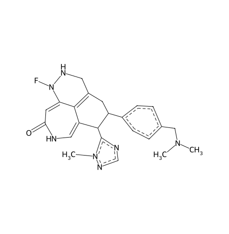 CN(C)Cc1ccc(C2CC3=C4C(=CNC(=O)C=C4N(F)NC3)C2c2ncnn2C)cc1